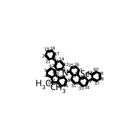 CC1(C)c2ccccc2-c2c(N(c3ccc(-c4ccccc4)cc3)c3cccc4c3ccc3ccc5c6ccccc6[se]c5c34)cccc21